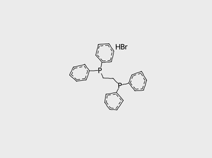 Br.c1ccc(P(CCP(c2ccccc2)c2ccccc2)c2ccccc2)cc1